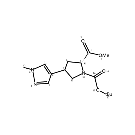 COC(=O)[C@H]1CC(c2cnn(C)c2)CN1C(=O)OC(C)(C)C